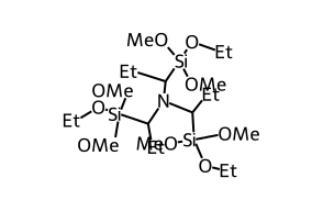 CCO[Si](OC)(OC)C(CC)N(C(CC)[Si](OC)(OC)OCC)C(CC)[Si](OC)(OC)OCC